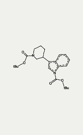 CC(C)(C)OC(=O)N1CCCC(c2cn(C(=O)OC(C)(C)C)c3ccccc23)C1